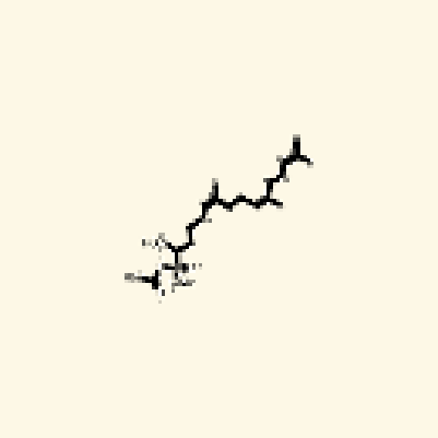 COP(=O)(OC(=O)C(C)(C)C)C(CCCC=C(C)CCC=C(C)CCC=C(C)C)S(=O)(=O)O